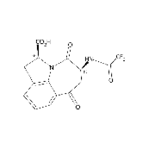 O=C1C[C@H](NC(=O)C(F)(F)F)C(=O)N2c3c(cccc31)C[C@H]2C(=O)O